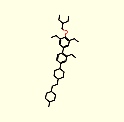 CCc1cc(C2CCC(CCC3CCC(C)CC3)CC2)ccc1-c1cc(CC)c(OCC(CC)CC)c(CC)c1